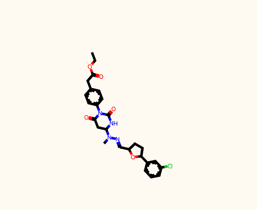 CCOC(=O)Cc1ccc(N2C(=O)CC(N(C)/N=C/C3CCC(c4cccc(Cl)c4)O3)NC2=O)cc1